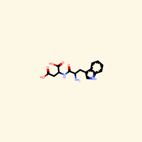 NC(Cc1c[nH]c2ccccc12)C(=O)NC(CC(=O)O)C(=O)O